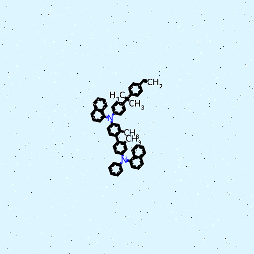 C=Cc1ccc(C(C)(C)c2ccc(N(c3ccc(-c4ccc(N(c5ccccc5)c5cccc6ccccc56)cc4C)c(C)c3)c3cccc4ccccc34)cc2)cc1